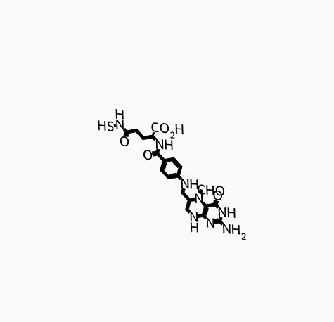 Nc1nc2c(c(=O)[nH]1)N(C=O)C(CNc1ccc(C(=O)N[C@@H](CCC(=O)NS)C(=O)O)cc1)CN2